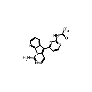 Nc1nccc2c(-c3ccnc(NC(=O)C(F)(F)F)n3)c3cccnc3n12